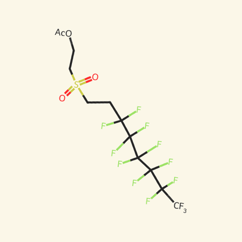 CC(=O)OCCS(=O)(=O)CCC(F)(F)C(F)(F)C(F)(F)C(F)(F)C(F)(F)C(F)(F)F